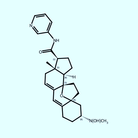 CN(O)[C@@H]1CCC2=CC3=CC[C@]4(C)[C@@H](C(=O)Nc5cccnc5)CC[C@H]4[C@@]34CC[C@]2(C1)O4